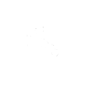 O=C1C(OC2O[C@H](CO)[C@@H](O)[C@H](O)[C@H]2O)Oc2ccccc2N1O